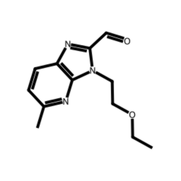 CCOCCn1c(C=O)nc2ccc(C)nc21